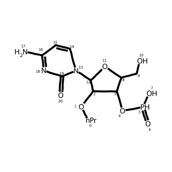 CCCOC1C(O[PH](=O)O)C(CO)OC1n1ccc(N)nc1=O